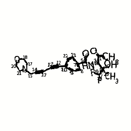 CC(=O)[C@@H](NC(=O)c1ccc(C#CC#CCN2CCOCC2)cc1)[C@](C)(O)C(F)F